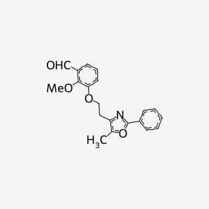 COc1c(C=O)cccc1OCCc1nc(-c2ccccc2)oc1C